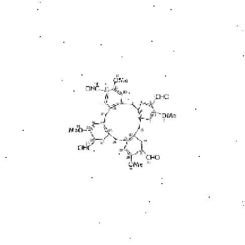 COc1cc2c(cc1C=O)Cc1cc(OC)c(C=O)cc1Cc1cc(OC)c(C=O)cc1Cc1cc(OC)c(C=O)cc1C2